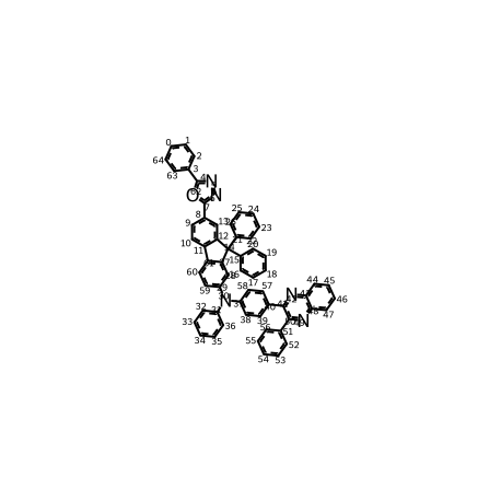 c1ccc(-c2nnc(-c3ccc4c(c3)C(c3ccccc3)(c3ccccc3)c3cc(N(c5ccccc5)c5ccc(-c6nc7ccccc7nc6-c6ccccc6)cc5)ccc3-4)o2)cc1